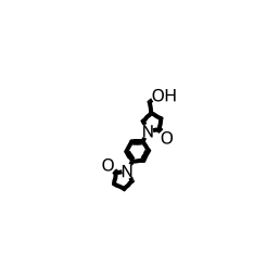 O=C1CCCN1c1ccc(N2CC(CO)CC2=O)cc1